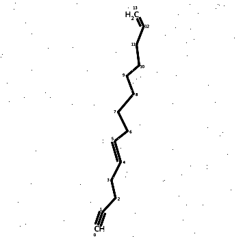 C#CCCC=CCCCCCCC=C